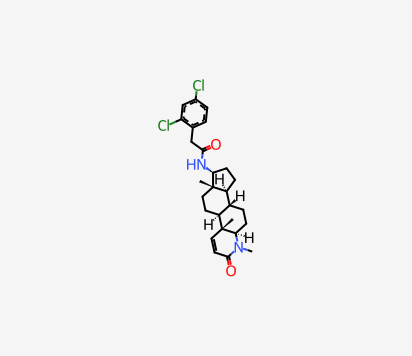 CN1C(=O)C=C[C@]2(C)[C@H]3CC[C@]4(C)[C@@H](NC(=O)Cc5ccc(Cl)cc5Cl)CC[C@H]4[C@@H]3CC[C@@H]12